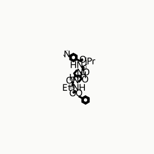 CC[C@H](NC(=O)OCc1ccccc1)C(=O)N1CC(=O)[C@@H]2[C@H]1CCN2C(=O)[C@H](CC(C)C)NC(=O)c1ccc(N(C)C)cc1